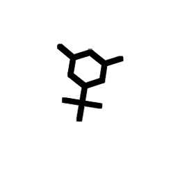 CC1[CH]C(C)CC(C(C)(C)C)C1